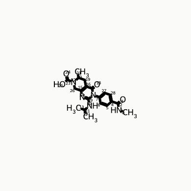 CNC(=O)c1ccc(-n2c(NC(C)C)nc3c(c2=O)CC(C)N(C(=O)O)C3)cc1